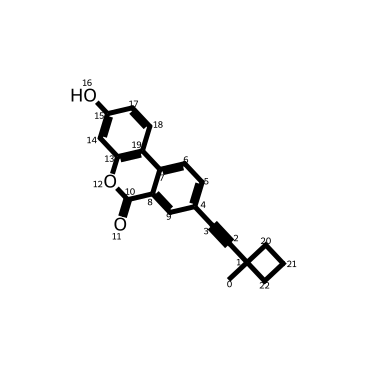 CC1(C#Cc2ccc3c(c2)c(=O)oc2cc(O)ccc23)CCC1